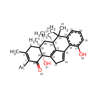 CC(=O)C1=C(C)C[C@@]2(C)[C@H](C)[C@]3(C)C4=C(CC=C4c4c(O)cccc4C3(C)C)[C@@]2(O)C1=O